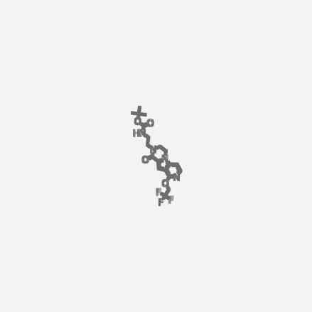 CC(C)(C)OC(=O)NCCN1CCn2c(cc3c(OCC(F)(F)F)nccc32)C1=O